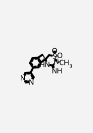 CN1C(=N)N[C@@]2(Cc3ccc(-c4cncnc4)cc32)CS1(=O)=O